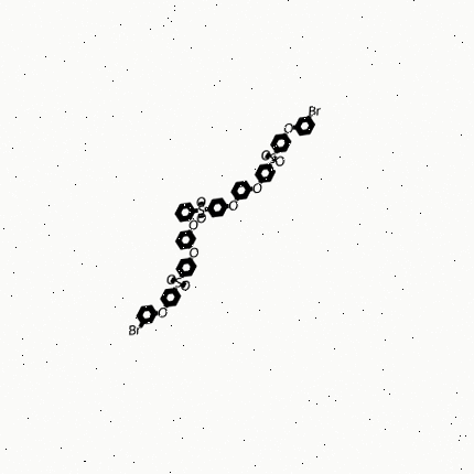 O=S(=O)(c1ccc(Oc2cccc(Br)c2)cc1)c1ccc(Oc2cccc(Oc3ccc(S(=O)(=O)c4ccccc4Oc4cccc(Oc5ccc(S(=O)(=O)c6ccc(Oc7cccc(Br)c7)cc6)cc5)c4)cc3)c2)cc1